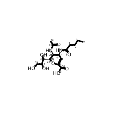 CCCCC(=O)N[C@H]1C=C(C(=O)O)O[C@@H](C(O)C(O)CO)[C@@H]1NC(C)=O